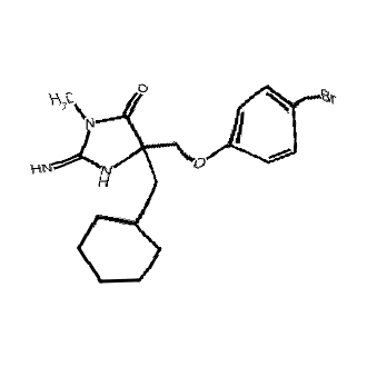 CN1C(=N)NC(COc2ccc(Br)cc2)(CC2CCCCC2)C1=O